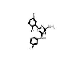 Nc1nc(Nc2cccc(Cl)c2)nc(-c2cc(Cl)ccc2Cl)n1